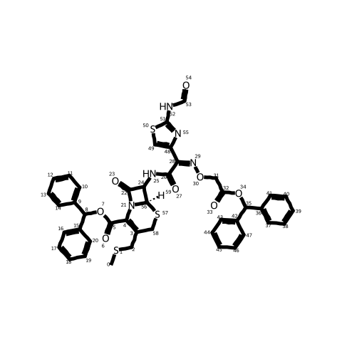 CSCC1=C(C(=O)OC(c2ccccc2)c2ccccc2)N2C(=O)C(NC(=O)/C(=N\OCC(=O)OC(c3ccccc3)c3ccccc3)c3csc(NC=O)n3)[C@H]2SC1